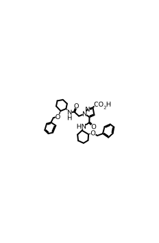 O=C(Cn1nc(C(=O)O)cc1C(=O)N[C@@H]1CCCC[C@H]1OCc1ccccc1)N[C@H]1CCCC[C@@H]1OCc1ccccc1